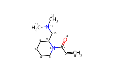 C=CC(=O)N1CCCCC1CN(C)C